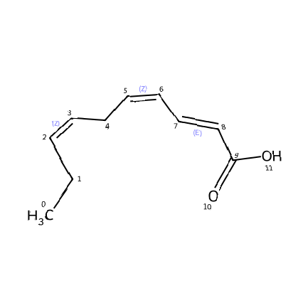 CC/C=C\C/C=C\C=C\C(=O)O